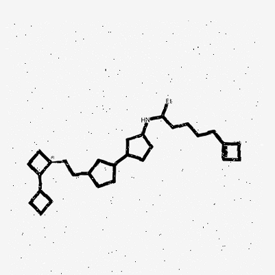 CCC(CCCCC1=CCC1)NC1CCC(C2CCC(CC[C@@H]3CCC3C3CCC3)C2)C1